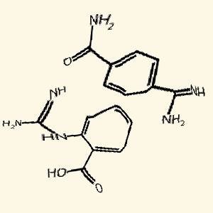 N=C(N)Nc1ccccc1C(=O)O.N=C(N)c1ccc(C(N)=O)cc1